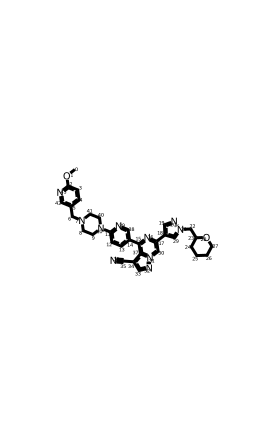 COc1ccc(CN2CCN(c3ccc(-c4nc(-c5cnn(CC6CCCCO6)c5)cn5ncc(C#N)c45)cn3)CC2)cn1